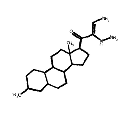 CC1CCC2C(CCC3C2CCC2(C)C(C(=O)/C(=C/N)NN)CCC32)C1